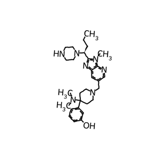 CCC[C@@H](c1nc2cc(CN3CCC(c4cccc(O)c4)(N(C)C)CC3)cnc2n1C)N1CCNCC1